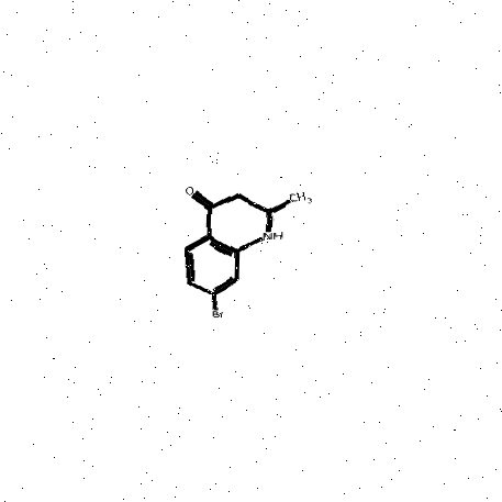 CC1CC(=O)c2ccc(Br)cc2N1